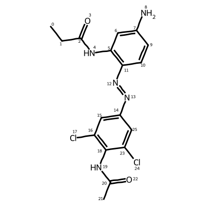 CCC(=O)Nc1cc(N)ccc1/N=N/c1cc(Cl)c(NC(C)=O)c(Cl)c1